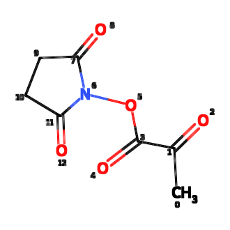 CC(=O)C(=O)ON1C(=O)CCC1=O